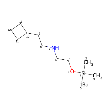 CC(C)(C)[Si](C)(C)OCCNCCC1CCC1